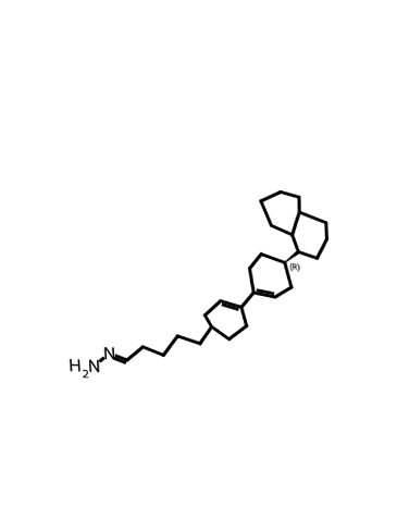 NN=CCCCCC1CC=C(C2=CC[C@H](C3CCCC4CCCCC43)CC2)CC1